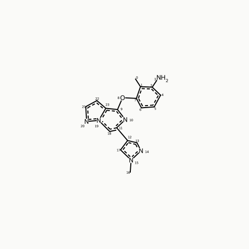 Cc1c(N)cccc1Oc1nc(-c2cnn(C)c2)cn2nccc12